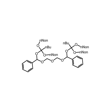 CCCCCCCCCOC(CCCC)(OCCCCCCCCC)OC(OCOCOC(OC(CCCC)(OCCCCCCCCC)OCCCCCCCCC)c1ccccc1)c1ccccc1